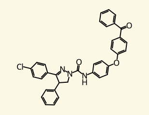 O=C(c1ccccc1)c1ccc(Oc2ccc(NC(=O)N3CC(c4ccccc4)C(c4ccc(Cl)cc4)=N3)cc2)cc1